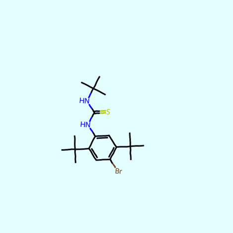 CC(C)(C)NC(=S)Nc1cc(C(C)(C)C)c(Br)cc1C(C)(C)C